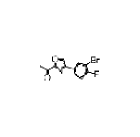 CC(=O)c1nc(-c2ccc(F)c(Br)c2)co1